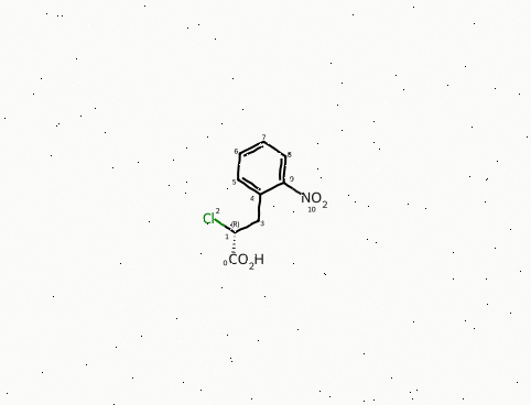 O=C(O)[C@H](Cl)Cc1ccccc1[N+](=O)[O-]